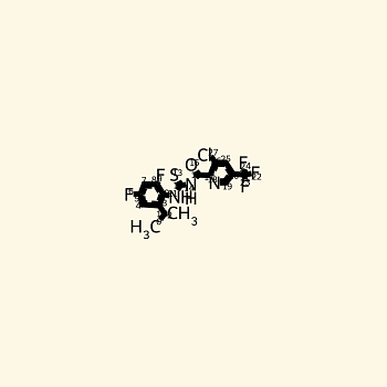 CC(C)c1cc(F)cc(F)c1NC(=S)NC(=O)c1ncc(C(F)(F)F)cc1Cl